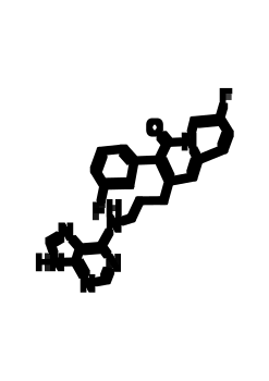 O=c1c(-c2cccc(F)c2)c(CCCNc2ncnc3[nH]cnc23)cc2ccc(F)cn12